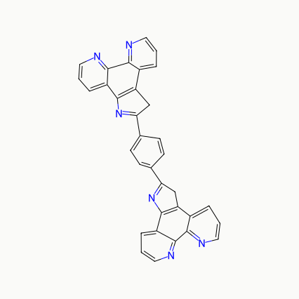 c1cnc2c(c1)c1c(c3cccnc32)N=C(c2ccc(C3=Nc4c(c5cccnc5c5ncccc45)C3)cc2)C1